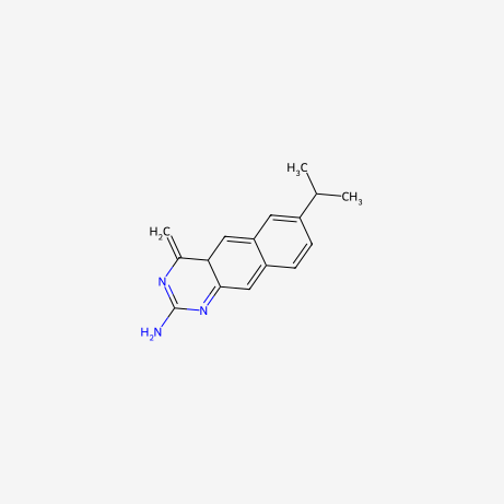 C=C1N=C(N)N=C2C=c3ccc(C(C)C)cc3=CC12